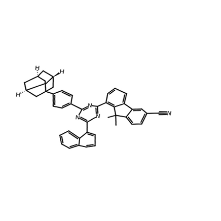 CC1(C)c2ccc(C#N)cc2-c2cccc(-c3nc(-c4ccc(C56C[C@H]7C[C@H](C5)C[C@@H](C6)C7)cc4)nc(-c4cccc5ccccc45)n3)c21